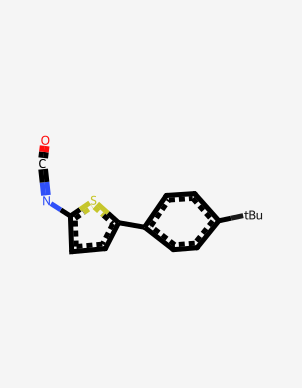 CC(C)(C)c1ccc(-c2ccc(N=C=O)s2)cc1